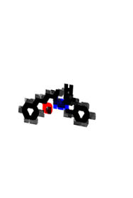 CC(CC(=O)Cc1ccccc1)=NN(Cc1ccccc1)[SiH](C)C